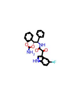 NC(=O)O[C@H](c1ccccc1)[C@H](NC(=O)C(=O)c1c[nH]c2ccc(F)cc12)c1ccccc1